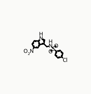 O=[N+]([O-])c1ccc2[nH]cc(CNS(=O)(=O)c3ccc(Cl)cc3)c2c1